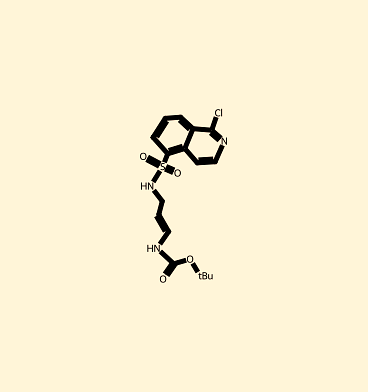 CC(C)(C)OC(=O)NC=CCNS(=O)(=O)c1cccc2c(Cl)nccc12